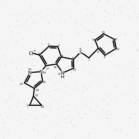 Clc1ccc2c(SCc3ccccc3)c[nH]c2c1-n1cc(C2CC2)cn1